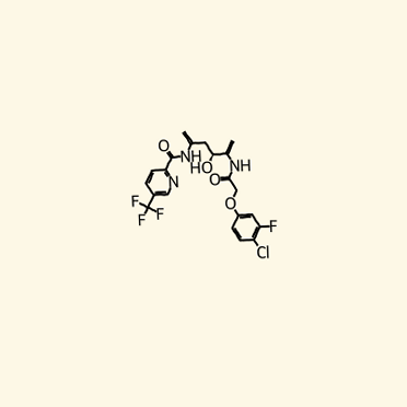 C=C(C[C@H](O)C(=C)NC(=O)COc1ccc(Cl)c(F)c1)NC(=O)c1ccc(C(F)(F)F)cn1